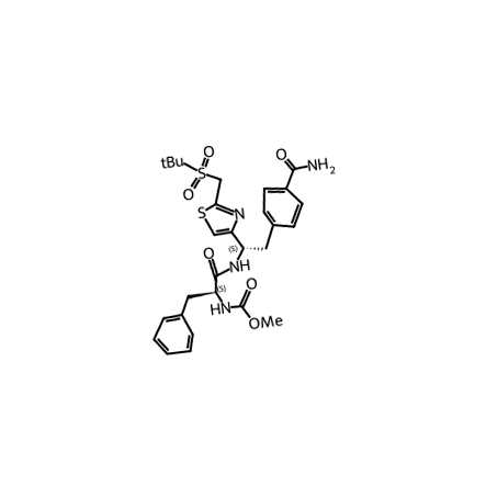 COC(=O)N[C@@H](Cc1ccccc1)C(=O)N[C@@H](Cc1ccc(C(N)=O)cc1)c1csc(CS(=O)(=O)C(C)(C)C)n1